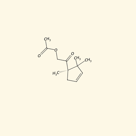 CC(=O)OCC(=O)[C@]1(C)CC=CC1(C)C